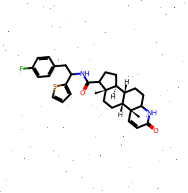 C[C@]12C=CC(=O)NC1CC[C@@H]1[C@H]2CC[C@]2(C)C(C(=O)NC(Cc3ccc(F)cc3)c3cccs3)CC[C@@H]12